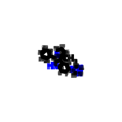 C[C@]1(c2c[nH]c3ccc(-n4cnnc4)cc23)CCCN1Cc1ccccc1